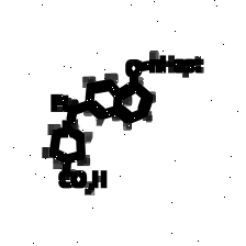 CCCCCCCOc1cccc2cc(C(CC)N3CCC(C(=O)O)CC3)ccc12